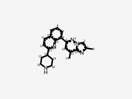 Cc1cn2nc(-c3cccc4ccc(C5CCNCC5)nc34)cc(C)c2n1